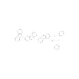 c1ccc(C2=NC(c3ccccc3)NC(c3ccc4oc5c(-c6cccc7c6oc6ccc(-n8c9ccccc9c9ccccc98)cc67)cccc5c4c3)N2)cc1